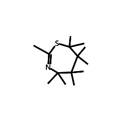 CC1=NC(C)(C)C(C)(C)C(C)(C)C(C)(C)S1